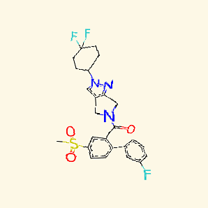 CS(=O)(=O)c1ccc(-c2cccc(F)c2)c(C(=O)N2Cc3cn(C4CCC(F)(F)CC4)nc3C2)c1